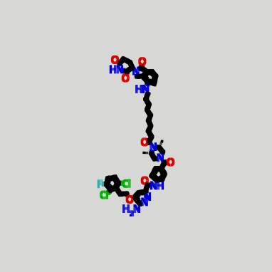 C[C@@H]1CN(C(=O)c2ccc(NC(=O)c3cc(OCCc4c(Cl)ccc(F)c4Cl)c(N)nn3)cc2)C[C@H](C)N1C(=O)CCCCCCCCCNc1cccc2c1CN([C@@H]1CCC(=O)NC1=O)C2=O